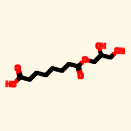 O=C(O)CCCCCCC(=O)OCC(O)CO